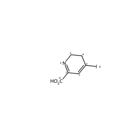 O=C(O)C1=NCCC(I)=C1